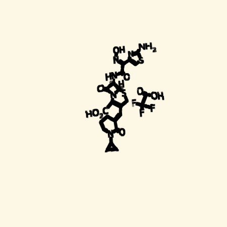 Nc1nc(C(=NO)C(=O)N[C@@H]2C(=O)N3C(C(=O)O)=C(C=C4CCCN(C5CC5)C4=O)CS[C@H]23)cs1.O=C(O)C(F)(F)F